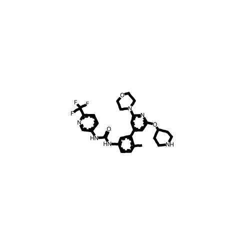 Cc1ccc(NC(=O)Nc2ccc(C(F)(F)F)nc2)cc1-c1cc(OC2CCNCC2)nc(N2CCOCC2)c1